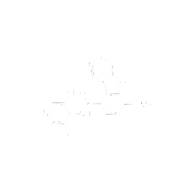 COc1ccc(C(=O)Nc2c(Cl)cncc2Cl)c2c3c(oc12)CCN=C3